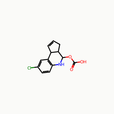 O=C(O)OC1Nc2ccc(Cl)cc2C2C=CCC12